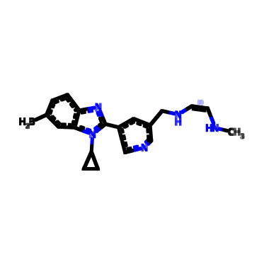 Bc1ccc2nc(-c3cncc(CN/C=C\NC)c3)n(C3CC3)c2c1